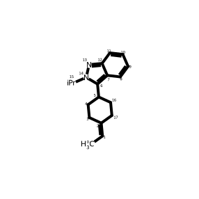 CC=C1CCC(c2c3ccccc3nn2C(C)C)CC1